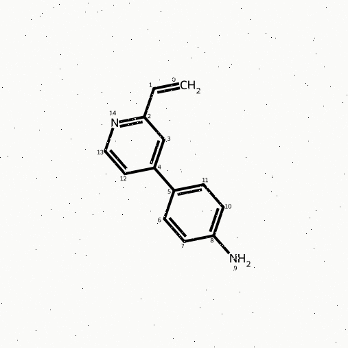 C=Cc1cc(-c2ccc(N)cc2)ccn1